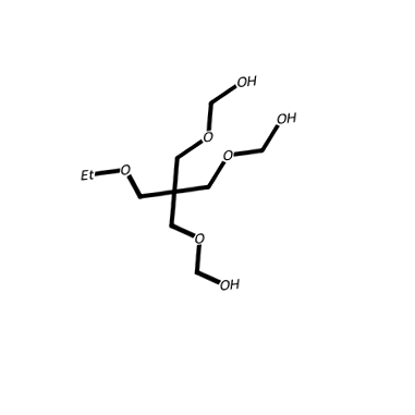 CCOCC(COCO)(COCO)COCO